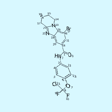 O=C(Nc1ccc(OC(F)(F)Cl)cc1)c1cc(Br)c2c(c1)nc1n2CCSC1